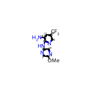 COc1cnc(Nc2ncc(C(F)(F)F)cc2N)cn1